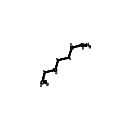 CCOCC[O][GeH3]